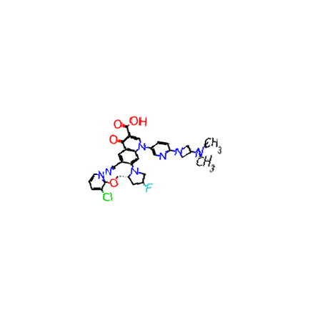 CN(C)C1CN(c2ccc(-n3cc(C(=O)O)c(=O)c4cc(C#N)c(N5C[C@@H](F)C[C@@H]5COc5ncccc5Cl)cc43)cn2)C1